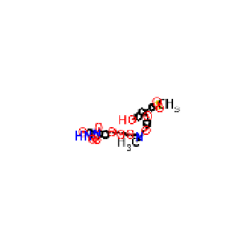 CCN(CCOCCOCCOc1ccc2c(c1)C(=O)N(C1CCC(=O)NC1=O)C2=O)CCOc1ccc(Oc2c(-c3ccc(S(C)(=O)=O)cc3)ccc3cc(O)ccc23)cc1